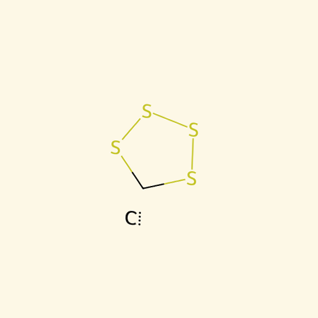 C1SSSS1.[C]